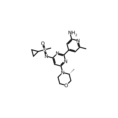 Cc1cc(-c2nc(N=S(C)(=O)C3CC3)cc(N3CCOC[C@H]3C)n2)cc(N)n1